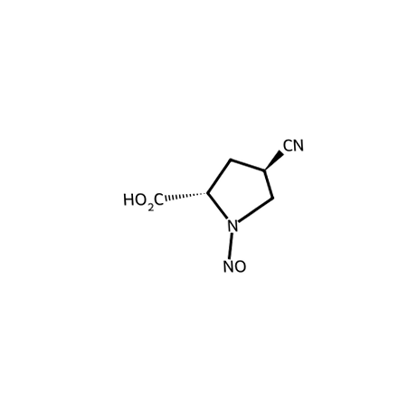 N#C[C@@H]1C[C@@H](C(=O)O)N(N=O)C1